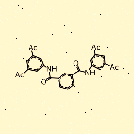 CC(=O)c1cc(NC(=O)c2cccc(C(=O)Nc3cc(C(C)=O)cc(C(C)=O)c3)c2)cc(C(C)=O)c1